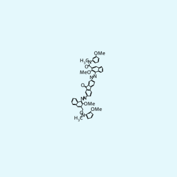 COc1cccc(N(C)OCc2cc3ccccc3c(N=Nc3ccc4c(c3)C(=O)c3cc(N=Nc5c(OC)c(C(=O)N(C)c6cccc(OC)c6)cc6ccccc56)ccc3-4)c2OC)c1